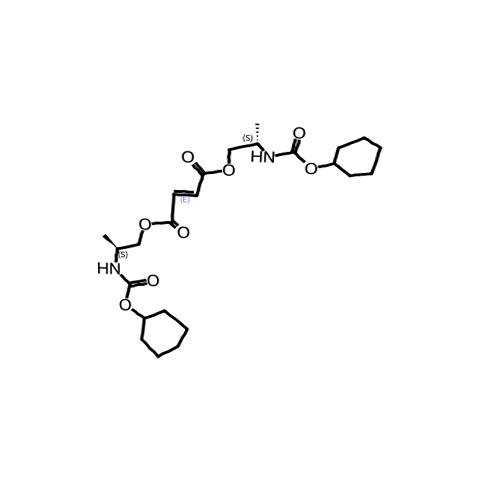 C[C@@H](COC(=O)/C=C/C(=O)OC[C@H](C)NC(=O)OC1CCCCC1)NC(=O)OC1CCCCC1